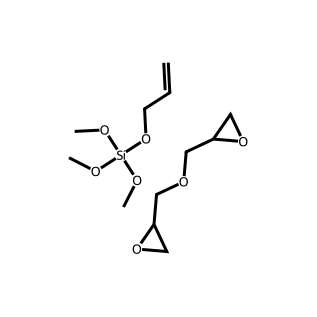 C(OCC1CO1)C1CO1.C=CCO[Si](OC)(OC)OC